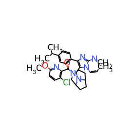 C=Nc1nc(-c2ccc(C(C)C)cc2)c(CN2C3CCC2CN(C(=O)c2nc(OC)ccc2Cl)CC3)n1/C=C\C